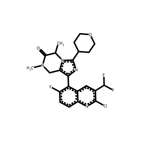 CC1C(=O)N(C)Cc2c(-c3c(F)ccc4nc(Cl)c(C(F)F)cc34)nc(C3CCOCC3)n21